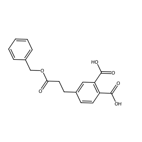 O=C(CCc1ccc(C(=O)O)c(C(=O)O)c1)OCc1ccccc1